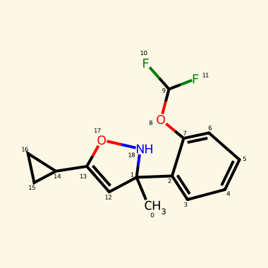 CC1(c2ccccc2OC(F)F)C=C(C2CC2)ON1